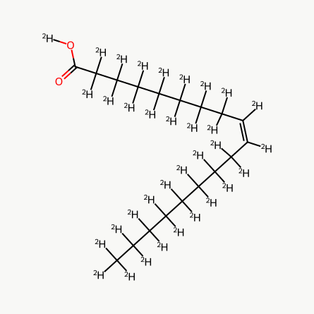 [2H]OC(=O)C([2H])([2H])C([2H])([2H])C([2H])([2H])C([2H])([2H])C([2H])([2H])C([2H])([2H])C([2H])([2H])/C([2H])=C(/[2H])C([2H])([2H])C([2H])([2H])C([2H])([2H])C([2H])([2H])C([2H])([2H])C([2H])([2H])C([2H])([2H])C([2H])([2H])[2H]